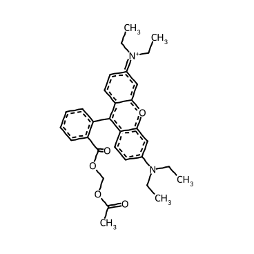 CCN(CC)c1ccc2c(-c3ccccc3C(=O)OCOC(C)=O)c3ccc(=[N+](CC)CC)cc-3oc2c1